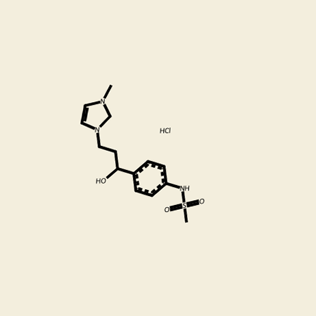 CN1C=CN(CCC(O)c2ccc(NS(C)(=O)=O)cc2)C1.Cl